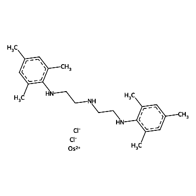 Cc1cc(C)c(NCCNCCNc2c(C)cc(C)cc2C)c(C)c1.[Cl-].[Cl-].[Os+2]